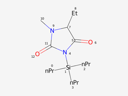 CCC[Si](CCC)(CCC)N1C(=O)C(CC)N(C)C1=O